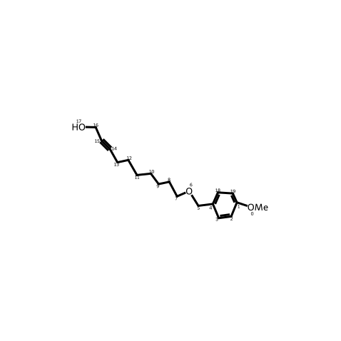 COc1ccc(COCCCCCCCC#CCO)cc1